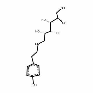 OC[C@@H](O)[C@@H](O)[C@H](O)[C@@H](O)CNCCc1ccc(O)cc1